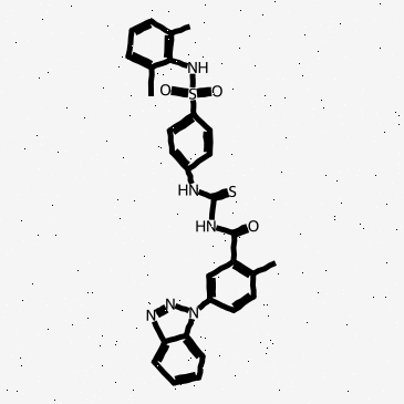 Cc1ccc(-n2nnc3ccccc32)cc1C(=O)NC(=S)Nc1ccc(S(=O)(=O)Nc2c(C)cccc2C)cc1